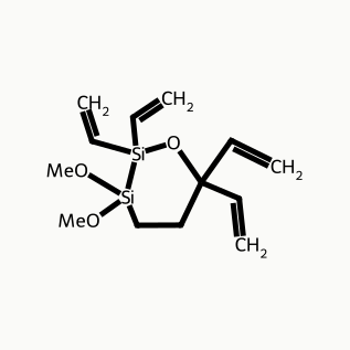 C=CC1(C=C)CC[Si](OC)(OC)[Si](C=C)(C=C)O1